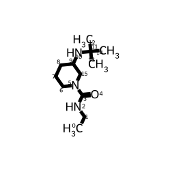 CCNC(=O)N1CCCC(NC(C)(C)C)C1